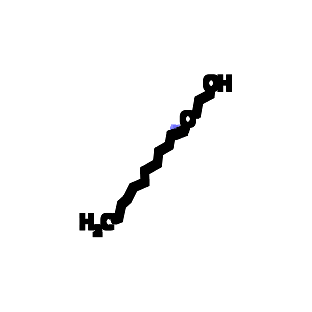 C=CCCCCCCCC/C=C/OCCCO